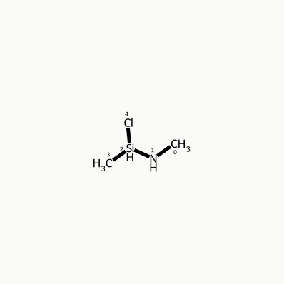 CN[SiH](C)Cl